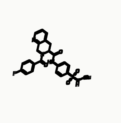 CC(C)(C)NS(=O)(=O)c1ccc(NC(=O)C2Cc3cccnc3CN2C(=O)c2ccc(F)cc2)cc1